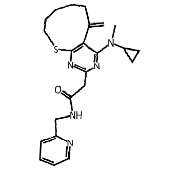 C=C1CCCCCSc2nc(CC(=O)NCc3ccccn3)nc(N(C)C3CC3)c21